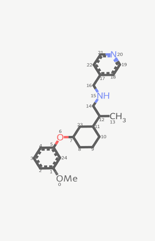 COc1cccc(OC2CCCC(C(C)CNCc3ccncc3)C2)c1